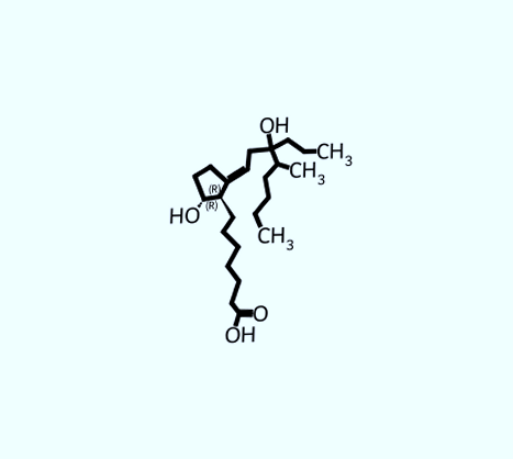 CCCCC(C)C(O)(CC=C1CC[C@@H](O)[C@@H]1CCCCCCC(=O)O)CCC